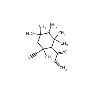 C=CC(=O)C1C(C)(C#N)CC(C)(C)N(N)C1(C)C